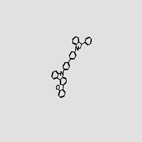 c1ccc(C2CN(c3ccc(-c4ccc(-n5c6ccccc6c6c7oc8ccccc8c7ccc65)cc4)cc3)c3ccccc32)cc1